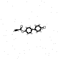 C#CC(=O)Oc1ccc(-c2ccc(Cl)cc2)cc1